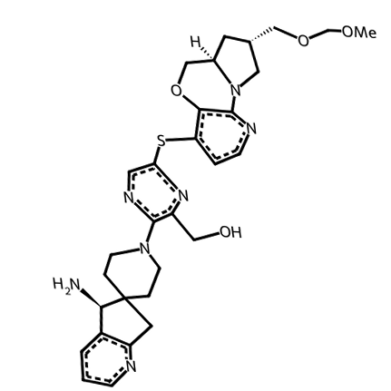 COCOC[C@H]1C[C@@H]2COc3c(Sc4cnc(N5CCC6(CC5)Cc5ncccc5[C@H]6N)c(CO)n4)ccnc3N2C1